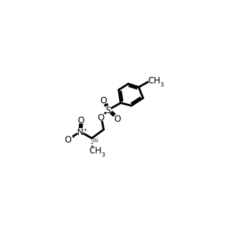 Cc1ccc(S(=O)(=O)OC[C@H](C)[N+](=O)[O-])cc1